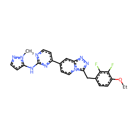 CCOc1ccc(Cc2nnc3cc(-c4ccnc(Nc5ccnn5C)n4)ccn23)c(F)c1F